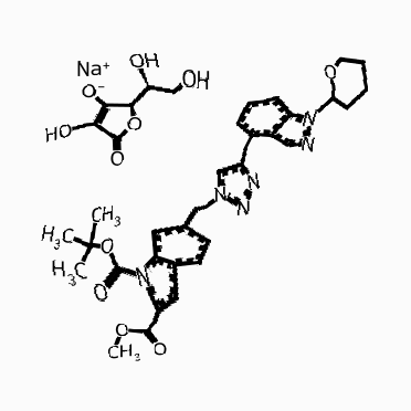 COC(=O)c1cc2ccc(Cn3cc(-c4cccc5c4cnn5C4CCCCO4)nn3)cc2n1C(=O)OC(C)(C)C.O=C1O[C@H]([C@@H](O)CO)C([O-])=C1O.[Na+]